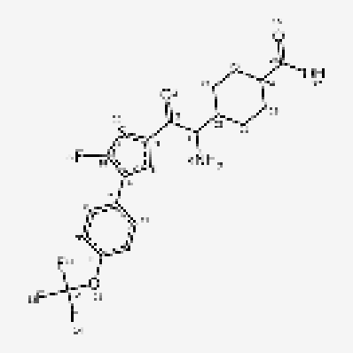 NC(C(=O)c1cc(-c2ccc(OC(F)(F)F)cc2)c(F)s1)C1CCC(C(=O)O)CC1